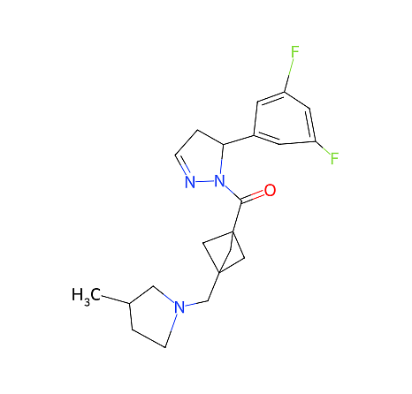 CC1CCN(CC23CC(C(=O)N4N=CCC4c4cc(F)cc(F)c4)(C2)C3)C1